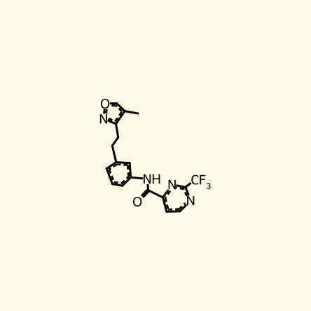 Cc1conc1CCc1cccc(NC(=O)c2ccnc(C(F)(F)F)n2)c1